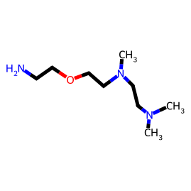 CN(C)CCN(C)CCOCCN